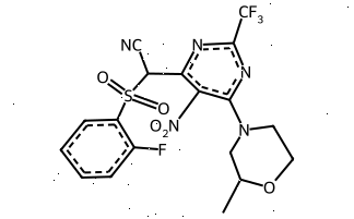 CC1CN(c2nc(C(F)(F)F)nc(C(C#N)S(=O)(=O)c3ccccc3F)c2[N+](=O)[O-])CCO1